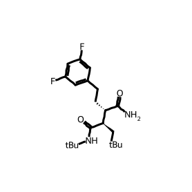 CC(C)(C)C[C@@H](C(=O)NC(C)(C)C)[C@H](CCc1cc(F)cc(F)c1)C(N)=O